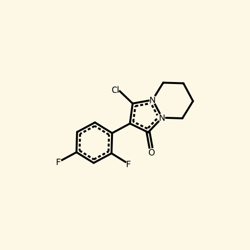 O=c1c(-c2ccc(F)cc2F)c(Cl)n2n1CCCC2